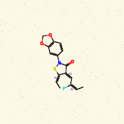 C\C=C(F)/C=c1/c(=O)n(-c2ccc3c(c2)OCO3)s/c1=C/C